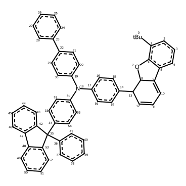 CC(C)(C)c1cccc2c1OC1C2=CC=CC1c1ccc(N(c2ccc(-c3ccccc3)cc2)c2ccc(C3(c4ccccc4)c4ccccc4-c4ccccc43)cc2)cc1